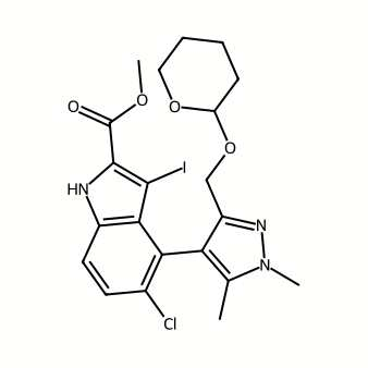 COC(=O)c1[nH]c2ccc(Cl)c(-c3c(COC4CCCCO4)nn(C)c3C)c2c1I